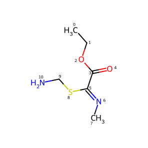 CCOC(=O)/C(=N/C)SCN